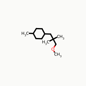 COCC(C)(C)CC1CCC(C)CC1